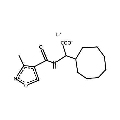 Cc1nocc1C(=O)NC(C(=O)[O-])C1CCCCCCC1.[Li+]